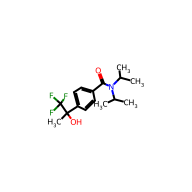 CC(C)N(C(=O)c1ccc(C(C)(O)C(F)(F)F)cc1)C(C)C